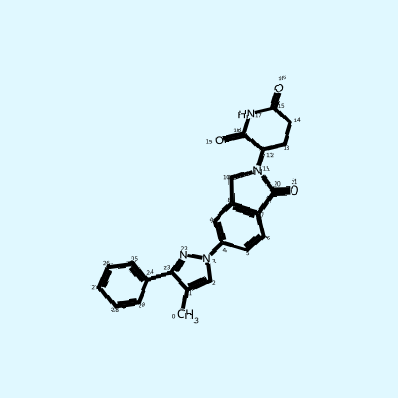 Cc1cn(-c2ccc3c(c2)CN(C2CCC(=O)NC2=O)C3=O)nc1-c1ccccc1